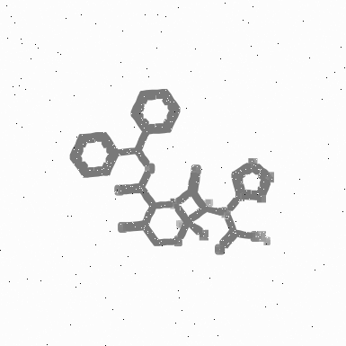 CC(=O)N([C@@H]1C(=O)N2C(C(=O)OC(c3ccccc3)c3ccccc3)C(=O)CS[C@@H]12)n1cnnn1